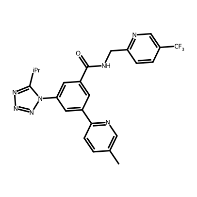 Cc1ccc(-c2cc(C(=O)NCc3ccc(C(F)(F)F)cn3)cc(-n3nnnc3C(C)C)c2)nc1